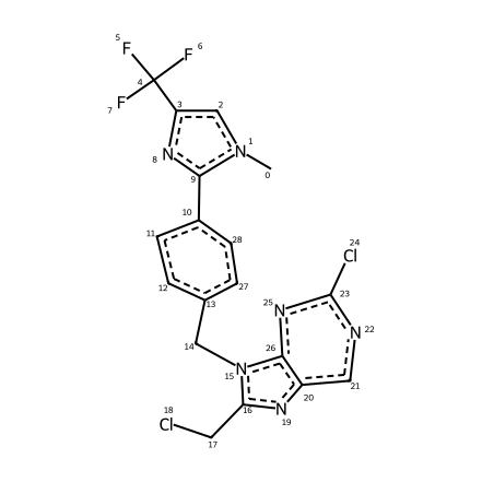 Cn1cc(C(F)(F)F)nc1-c1ccc(Cn2c(CCl)nc3cnc(Cl)nc32)cc1